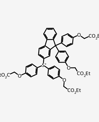 CCOC(=O)COc1ccc([S+](c2ccc(OCC(=O)OCC)cc2)c2ccc3c(c2)C(c2ccc(OCC(=O)OCC)cc2)(c2ccc(OCC(=O)OCC)cc2)c2ccccc2-3)cc1